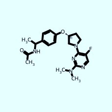 CC(=O)NC(C)c1ccc(O[C@@H]2CCN(c3nc(N(C)C)ncc3F)C2)cc1